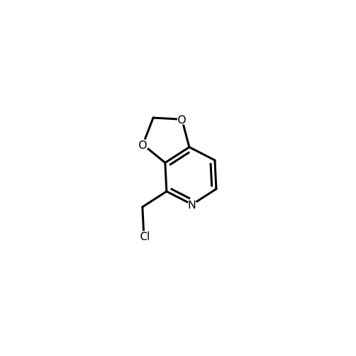 ClCc1nccc2c1OCO2